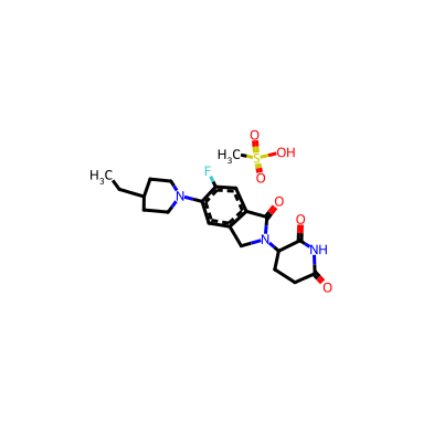 CCC1CCN(c2cc3c(cc2F)C(=O)N(C2CCC(=O)NC2=O)C3)CC1.CS(=O)(=O)O